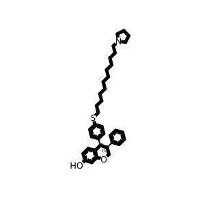 Oc1ccc2c(c1)OC[C@H](c1ccccc1)[C@@H]2c1ccc(SCCCCCCCCCCCCN2CCCC2)cc1